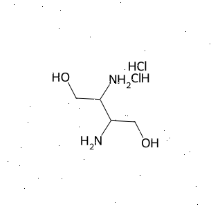 Cl.Cl.NC(CO)C(N)CO